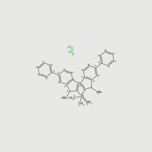 CCCCC1[C]([Zr]([CH3])([CH3])(=[SiH2])[C]2=Cc3ccc(-c4ccccc4)cc3C2CCCC)=Cc2ccc(-c3ccccc3)cc21.Cl.Cl